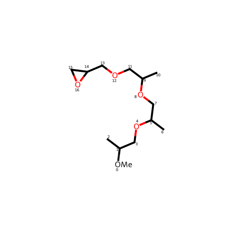 COC(C)COC(C)COC(C)COCC1CO1